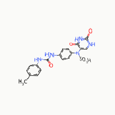 Cc1ccc(NC(=O)Nc2ccc(N(c3c[nH]c(=O)[nH]c3=O)S(=O)(=O)O)cc2)cc1